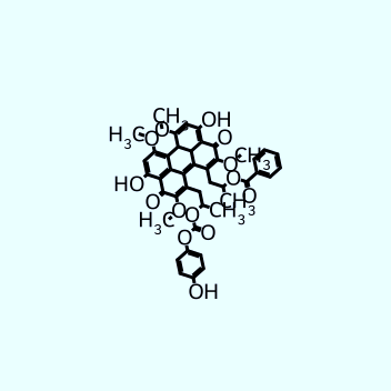 COC1=CC(O)=C2C(=O)C(OC)=C(CC(C)OC(=O)c3ccccc3)C3=C4C(CC(C)OC(=O)Oc5ccc(O)cc5)=C(OC)C(=O)c5c(O)cc(OC)c(c54)C1C23